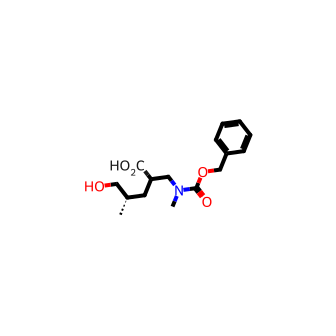 C[C@H](CO)CC(CN(C)C(=O)OCc1ccccc1)C(=O)O